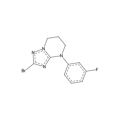 Fc1cccc(N2CCCn3nc(Br)nc32)c1